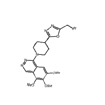 COc1cc2c(N3CCC(c4nnc(CC(C)C)o4)CC3)nncc2c(OC)c1OC